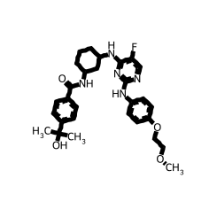 COCCOc1ccc(Nc2ncc(F)c(NC3CCCC(NC(=O)c4ccc(C(C)(C)O)cc4)C3)n2)cc1